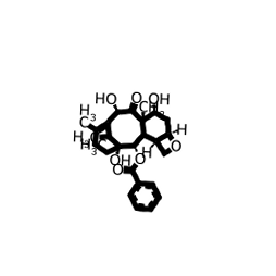 CC1=C2[C@@H](O)C(=O)[C@@]3(C)C([C@@H]4CO[C@@H]4C[C@@H]3O)[C@H](OC(=O)c3ccccc3)[C@](O)(CC1)C2(C)C